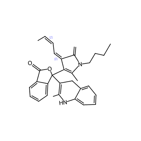 C=c1/c(=C\C=C/C)c(C2(C3=C(C)Nc4ccccc4C3)OC(=O)c3ccccc32)c(C)n1CCCC